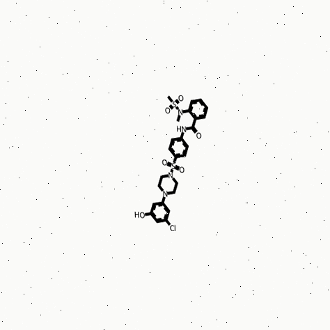 CN(c1ccccc1C(=O)Nc1ccc(S(=O)(=O)N2CCN(c3cc(O)cc(Cl)c3)CC2)cc1)S(C)(=O)=O